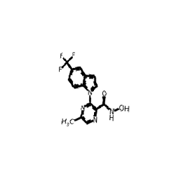 Cc1cnc(C(=O)NO)c(-n2ccc3cc(C(F)(F)F)ccc32)n1